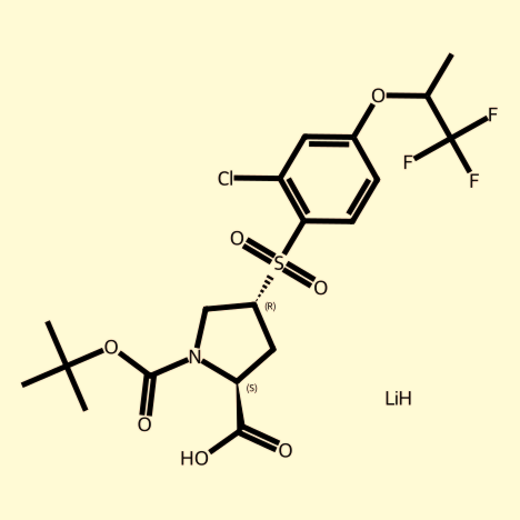 CC(Oc1ccc(S(=O)(=O)[C@@H]2C[C@@H](C(=O)O)N(C(=O)OC(C)(C)C)C2)c(Cl)c1)C(F)(F)F.[LiH]